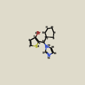 Brc1ccsc1C([C]1CCCCC1)n1ccnc1